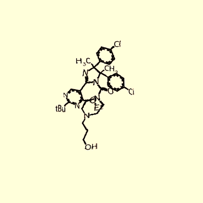 CCOc1nc(C(C)(C)C)ncc1C1=NC(C)(c2ccc(Cl)cc2)C(C)(c2ccc(Cl)cc2)N1C(=O)N1CCN(CCCO)CC1